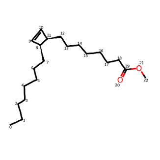 CCCCCCCC[C@H]1C=C[C@H]1CCCCCCCC(=O)OC